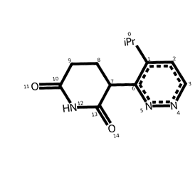 CC(C)c1ccnnc1C1CCC(=O)NC1=O